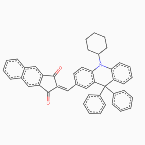 O=C1C(=Cc2ccc3c(c2)C(c2ccccc2)(c2ccccc2)c2ccccc2N3C2CCCCC2)C(=O)c2cc3ccccc3cc21